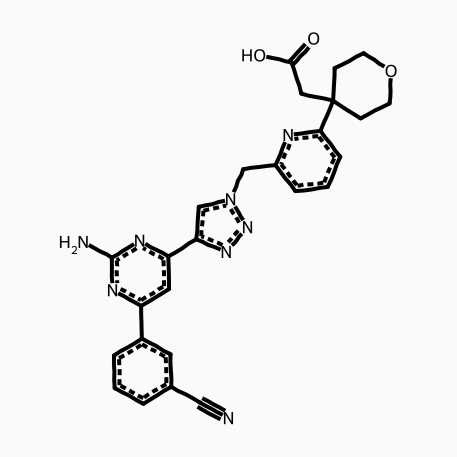 N#Cc1cccc(-c2cc(-c3cn(Cc4cccc(C5(CC(=O)O)CCOCC5)n4)nn3)nc(N)n2)c1